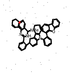 CNC(N/C(=N\CC1=CCCC=C1)c1ccccc1C1C=Cc2c(c3c(n2-c2ccccc2-c2cccc4c2oc2ccccc24)C=CCC3)C1)c1ccccc1